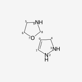 C1=CNNC1.C1COCN1